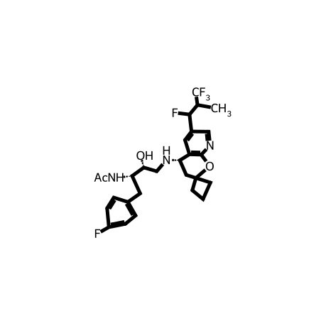 CC(=O)N[C@@H](Cc1ccc(F)cc1)[C@H](O)CN[C@H]1CC2(CCC2)Oc2ncc(C(F)C(C)C(F)(F)F)cc21